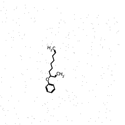 C=CCCCCCC(C=C)Oc1ccccc1